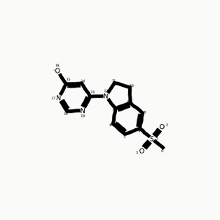 CS(=O)(=O)c1ccc2c(c1)CCN2c1cc([O])ncn1